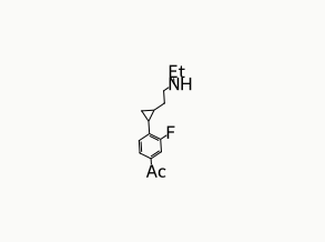 CCNCCC1CC1c1ccc(C(C)=O)cc1F